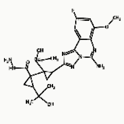 COc1cc(F)cc2c1nc(N)n1nc(C3CC3(C(C)(C)O)C3(C(=O)NN)CC3C(C)(C)O)nc21